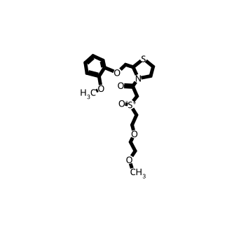 COCCOCC[S+]([O-])CC(=O)N1CCSC1COc1ccccc1OC